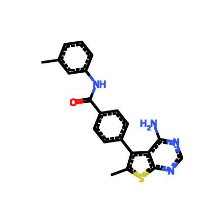 Cc1cccc(NC(=O)c2ccc(-c3c(C)sc4ncnc(N)c34)cc2)c1